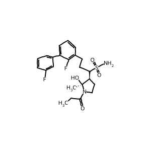 CCC(=O)N1CC[C@H](C(CCc2cccc(-c3cccc(F)c3)c2F)S(N)(=O)=O)[C@]1(C)O